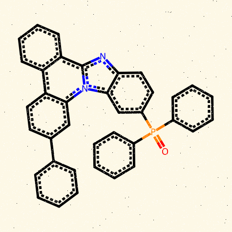 O=P(c1ccccc1)(c1ccccc1)c1ccc2nc3c4ccccc4c4ccc(-c5ccccc5)cc4n3c2c1